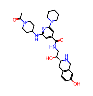 CC(=O)N1CCC(Nc2cc(C(=O)NCC(O)[C@@H]3Cc4ccc(O)cc4CN3)cc(N3CCCCC3)n2)CC1